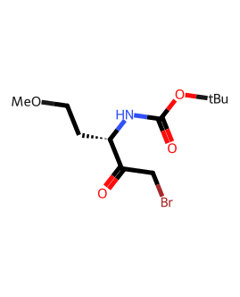 COCC[C@H](NC(=O)OC(C)(C)C)C(=O)CBr